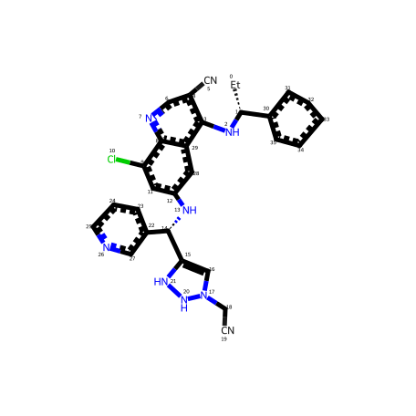 CC[C@@H](Nc1c(C#N)cnc2c(Cl)cc(N[C@H](C3=CN(CC#N)NN3)c3cccnc3)cc12)c1ccccc1